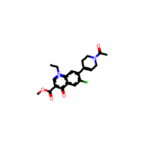 CCn1cc(C(=O)OC)c(=O)c2cc(F)c(C3=CCN(C(C)=O)CC3)cc21